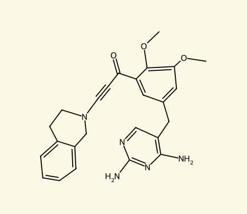 COc1cc(Cc2cnc(N)nc2N)cc(C(=O)C#CN2CCc3ccccc3C2)c1OC